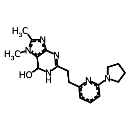 Cc1nc2c(n1C)C(O)NC(CCc1cccc(N3CCCC3)n1)=N2